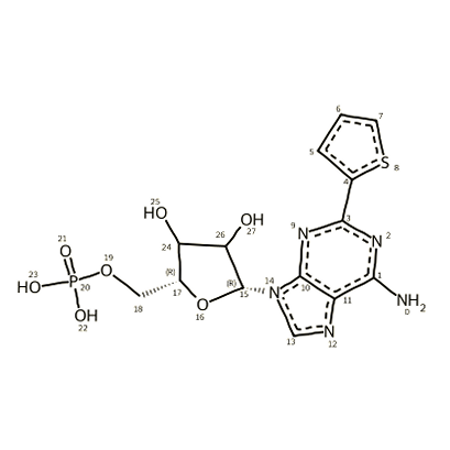 Nc1nc(-c2cccs2)nc2c1ncn2[C@@H]1O[C@H](COP(=O)(O)O)C(O)C1O